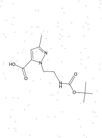 Cc1cc(C(=O)O)n(CCNC(=O)OC(C)(C)C)n1